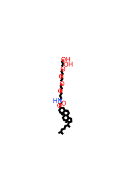 CC(C)CCCC(C)C1CCC2C3CC=C4CC(OC(=O)NCCCOCCOCCOCCOCC(O)CO)CCC4(C)C3CCC12C